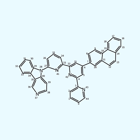 c1ccc(-c2cc(-c3ccc4c(ccc5ccccc54)c3)cc(-c3cccc(-n4c5ccccc5c5cnccc54)n3)n2)nc1